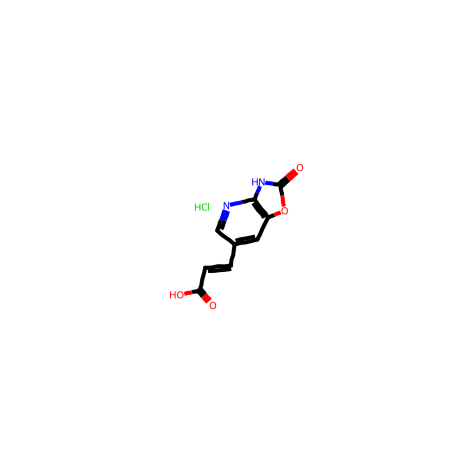 Cl.O=C(O)C=Cc1cnc2[nH]c(=O)oc2c1